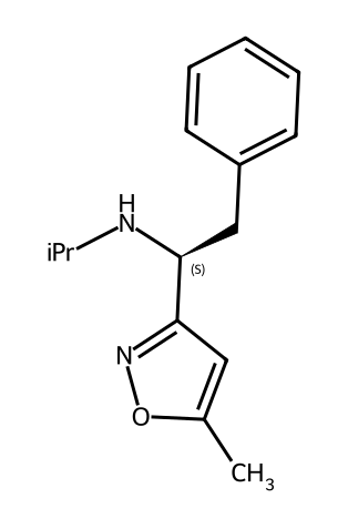 Cc1cc([C@H](Cc2ccccc2)NC(C)C)no1